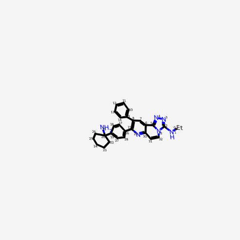 CCNc1nnc2c3cc(-c4ccccc4)c(-c4ccc(C5(N)CCCCC5)cc4)nc3ccn12